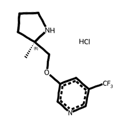 C[C@]1(COc2cncc(C(F)(F)F)c2)CCCN1.Cl